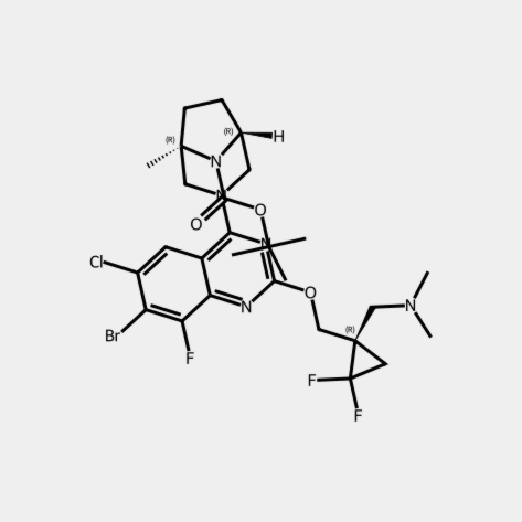 CN(C)C[C@@]1(COc2nc(N3C[C@H]4CC[C@](C)(C3)N4C(=O)OC(C)(C)C)c3cc(Cl)c(Br)c(F)c3n2)CC1(F)F